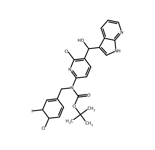 CC(C)(C)OC(=O)N(CC1=CC(I)C(Cl)C=C1)c1ccc(C(O)c2c[nH]c3ncccc23)c(Cl)n1